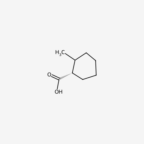 CC1CCCC[C@@H]1C(=O)O